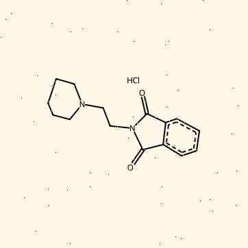 Cl.O=C1c2ccccc2C(=O)N1CCN1CCCCC1